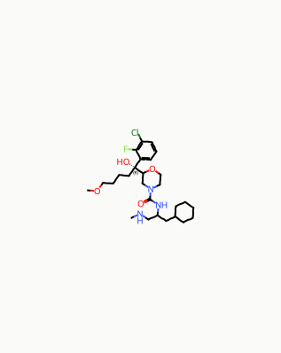 CNCC(CC1CCCCC1)NC(=O)N1CCOC([C@@](O)(CCCCOC)c2cccc(Cl)c2F)C1